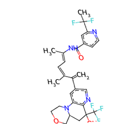 C=C(/C(C)=C\C=C(/C)NC(=O)c1ccnc(C(C)(F)F)c1)c1cnc2c(c1)N1CCOCC1CC2(O)C(F)(F)F